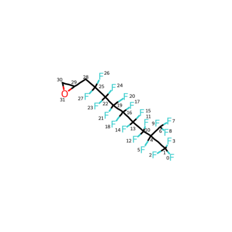 FC(F)(F)C(F)(C(F)(F)F)C(F)(F)C(F)(F)C(F)(F)C(F)(F)C(F)(F)C(F)(F)CC1CO1